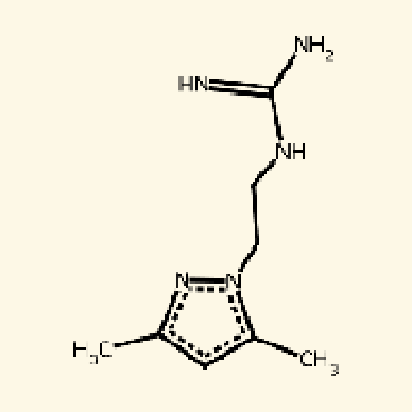 Cc1cc(C)n(CCNC(=N)N)n1